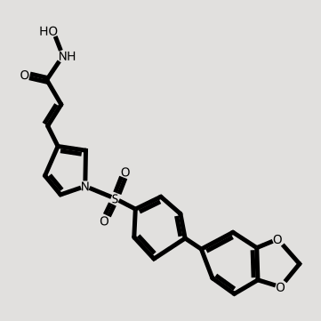 O=C(C=Cc1ccn(S(=O)(=O)c2ccc(-c3ccc4c(c3)OCO4)cc2)c1)NO